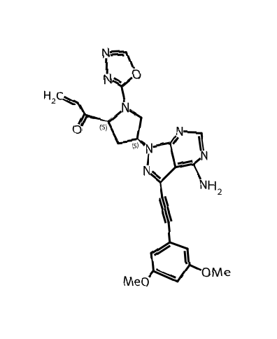 C=CC(=O)[C@@H]1C[C@H](n2nc(C#Cc3cc(OC)cc(OC)c3)c3c(N)ncnc32)CN1c1nnco1